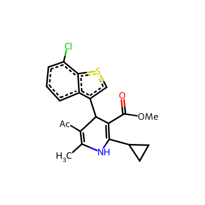 COC(=O)C1=C(C2CC2)NC(C)=C(C(C)=O)C1c1csc2c(Cl)cccc12